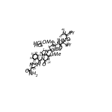 CC[C@H](C)[C@@H]([C@@H](CC(=O)N1CCC[C@H]1[C@H](OC)[C@H](C)C(=O)N[C@H](C[SH]1C=NC(C(N)=O)=C1)c1ccccc1)OC)N(C)C(=O)[C@@H](NC(=O)[C@H](C(C)C)N(C)C)C(C)C.Cl.Cl